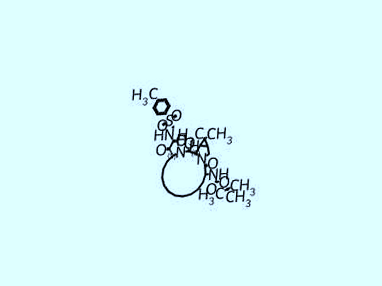 Cc1ccc(S(=O)(=O)CNC(=O)C(=O)[C@@H]2CCCCCCCCCCC(NC(=O)OC(C)(C)C)C(=O)N3CC4C([C@H]3C(=O)N2)C4(C)C)cc1